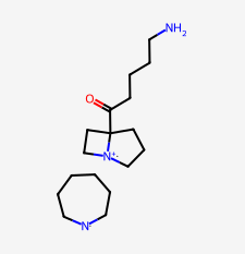 C1CCC[N]CC1.NCCCCC(=O)C12CCC[N+]1CC2